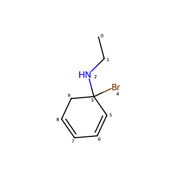 CCNC1(Br)C=CC=CC1